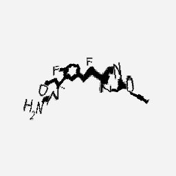 CC#CCOc1cnc(/C(F)=C/c2ccc(F)c([C@]3(C)CCOC(N)=N3)c2)cn1